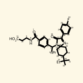 CCCC(c1ccc(C(=O)NCCC(=O)O)cc1)N1C(=O)C(c2ccc(F)cc2)=NC12CCC(C(C)(C)CC)CC2